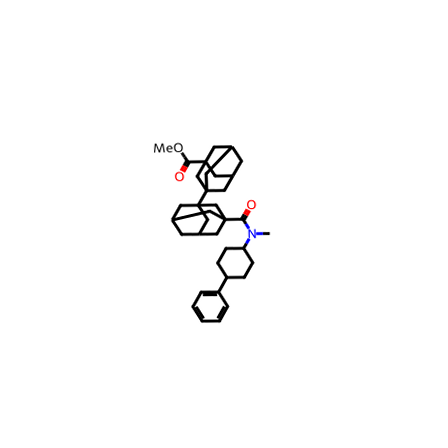 COC(=O)C12CC3CC(C1)CC(C14CC5CC(CC(C(=O)N(C)C6CCC(c7ccccc7)CC6)(C5)C1)C4)(C3)C2